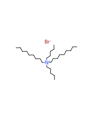 CCCCCCCCC[N+](CCCCC)(CCCCC)CCCCCCCCC.[Br-]